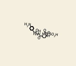 Nc1ccc(CC(=O)NNC(=O)[C@@H]2CC[C@@H]3CN2C(=O)N3OS(=O)(=O)O)cc1